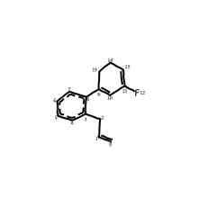 C=CCc1ccccc1C1=CC(F)=CCC1